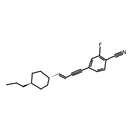 CCC[C@H]1CC[C@H](/C=C/C#Cc2ccc(C#N)c(F)c2)CC1